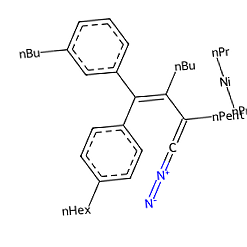 CCCCCCc1ccc(C(=C(CCCC)C(=C=[N+]=[N-])CCCCC)c2cccc(CCCC)c2)cc1.CC[CH2][Ni][CH2]CC